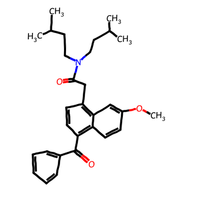 COc1ccc2c(C(=O)c3ccccc3)ccc(CC(=O)N(CCC(C)C)CCC(C)C)c2c1